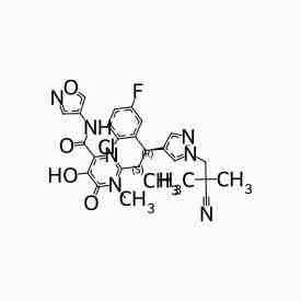 C[C@H](c1nc(C(=O)Nc2cnoc2)c(O)c(=O)n1C)[C@H](c1cnn(CC(C)(C)C#N)c1)c1cc(F)ccc1Cl